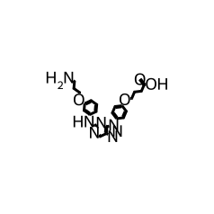 NCCCOc1cccc(Nc2ncc3nnn(-c4ccc(OCCCC(=O)O)cc4)c3n2)c1